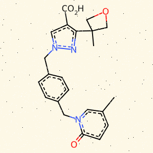 Cc1ccc(=O)n(Cc2ccc(Cn3cc(C(=O)O)c(C4(C)COC4)n3)cc2)c1